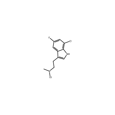 CCN(C)CCc1c[nH]c2c(Cl)cc(F)cc12